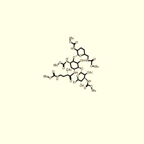 CCC1O[C@H](O[C@@H]2C(O)C(O[C@H]3OC(CNC(=O)OC(C)(C)C)CCC3NC(=O)OC(C)(C)C)[C@H](NC(=O)OC(C)(C)C)C[C@H]2NC(=O)[C@H](CCNC(=O)OC(C)(C)C)OC(C)=O)C(OC(C)=O)[C@@H](NC(=O)OC(C)(C)C)[C@@H]1O